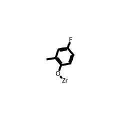 Cc1cc(F)ccc1[O][Zr]